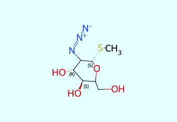 CS[C@@H]1OC(CO)[C@@H](O)[C@H](O)C1N=[N+]=[N-]